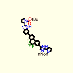 CCCCCCCCCN1CCCC1c1ncc(-c2ccc3c(c2)C(F)(F)C(F)(F)c2cc(-c4ccc5nc([C@@H]6CCCN6C(=O)OC(C)(C)C)[nH]c5c4)ccc2-3)[nH]1